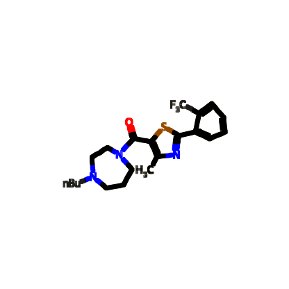 CCCCN1CCCN(C(=O)c2sc(-c3ccccc3C(F)(F)F)nc2C)CC1